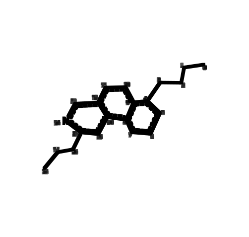 CCCCc1cccc2c1ccc1cnc(CCC)cc12